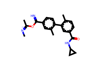 C/N=C(/C)OC(=N)c1ccc(-c2cc(C(=O)NC3CC3)ccc2C)c(C)c1